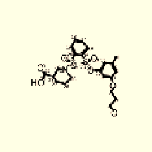 Cc1cc(OCCC[O])cc(OS(=O)(=O)c2ccccc2S(=O)(=O)N2CCCC(C(=O)O)C2)c1